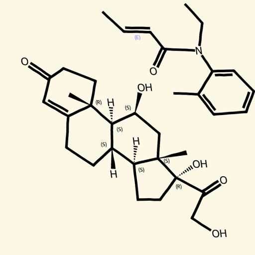 C/C=C/C(=O)N(CC)c1ccccc1C.C[C@]12CCC(=O)C=C1CC[C@@H]1[C@@H]2[C@@H](O)C[C@@]2(C)[C@H]1CC[C@]2(O)C(=O)CO